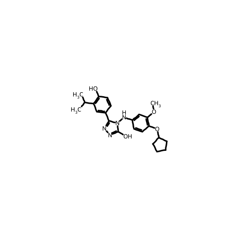 COc1cc(Nn2c(O)nnc2-c2ccc(O)c(C(C)C)c2)ccc1OC1CCCC1